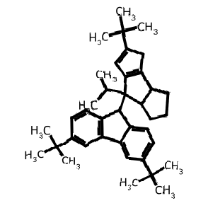 CC(C)C1(C2c3ccc(C(C)(C)C)cc3-c3cc(C(C)(C)C)ccc32)C2=C(CC(C(C)(C)C)=C2)C2CCCC21